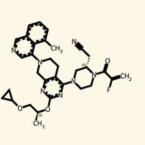 C=C(F)C(=O)N1CCN(c2nc(O[C@@H](C)COC3CC3)nc3c2CCN(c2cncc4cccc(C)c24)C3)C[C@@H]1CC#N